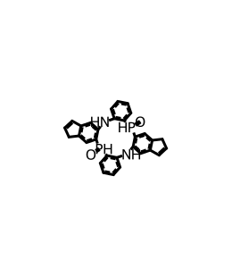 O=[PH]1c2ccccc2Nc2cc3c(cc2[PH](=O)c2ccccc2Nc2cc4c(cc21)CC=C4)CC=C3